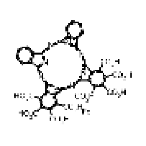 O=C(O)c1c(C(=O)O)c(C(=O)O)c2c(c1C(=O)O)-c1nc-2nc2[nH]c(nc3nc(nc4[nH]c(n1)c1ccccc41)-c1ccccc1-3)c1c(C(=O)O)c(C(=O)O)c(C(=O)O)c(C(=O)O)c21.[Fe]